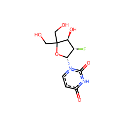 O=c1ccn([C@@H]2OC(CO)(CO)[C@@H](O)[C@H]2F)c(=O)[nH]1